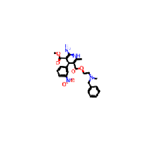 COC(=O)C1=C(N)NC(C)=C(C(=O)OCCN(C)Cc2ccccc2)C1c1cccc([N+](=O)[O-])c1